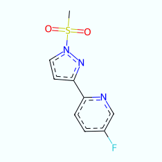 CS(=O)(=O)n1ccc(-c2ccc(F)cn2)n1